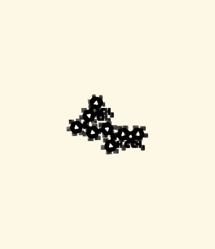 CC1(C)c2c#cccc2-c2ccc(N(c3ccccc3)c3cccc(-c4c#ccc(N(c5ccccc5)c5ccc6c(c5)C(C)(C)c5ccccc5-6)c4)c3)cc21